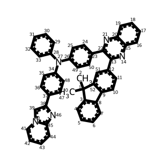 CC1(C)c2ccccc2-c2ccc(-c3nc4ccccc4nc3-c3ccc(N(c4ccccc4)c4ccc(-c5cn6ccccc6n5)cc4)cc3)cc21